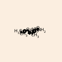 CC(c1ccc(C(=O)c2ccc(N(C)C)cc2)[nH]1)c1ccc(NS(N)(=O)=O)cc1F